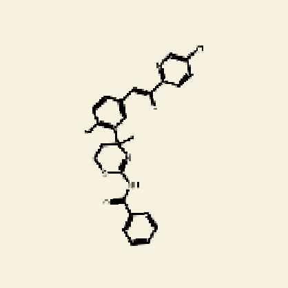 CC1(c2cc(C=C(F)c3ccc(Cl)cn3)ccc2F)CCSC(NC(=O)c2ccccc2)=N1